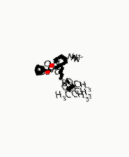 CC(C)(C)OC(=O)N1CC[C@H](N=[N+]=[N-])C[C@]1(CCCCB1OC(C)(C)C(C)(C)O1)C(=O)OCc1ccccc1